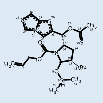 C=CCOC(=O)N1C(O[SiH](C)C)[C@@H](C(C)(C)C)C[C@H]1C(OC(C)=S)c1cn2cncc2s1